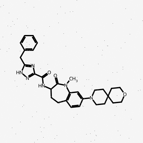 CN1C(=O)C(NC(=O)c2n[nH]c(Cc3ccccc3)n2)CCc2ccc(N3CCC4(CCOCC4)CC3)cc21